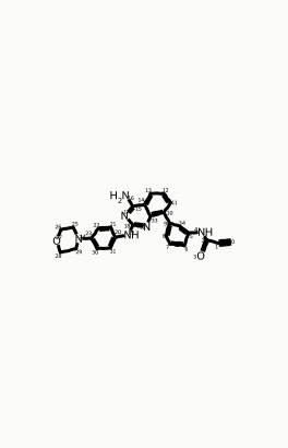 C#CC(=O)Nc1cccc(-c2cccc3c(N)nc(Nc4ccc(N5CCOCC5)cc4)nc23)c1